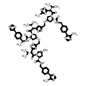 Cc1nnc([C@H](C(=O)N2C[C@H](OCc3cc([C@H](C(=O)N4C[C@H](OCc5nc([C@H](C(=O)N6C[C@H](O)C[C@H]6C(=O)NCc6ccc(-c7scnc7C)cc6)C(C)C)ns5)C[C@H]4C(=O)N[C@@H](C)c4ccc(-c5cnco5)cc4)C(C)C)on3)C[C@H]2C(=O)NCc2ccc(-c3scnc3C)cc2)C(C)C)o1